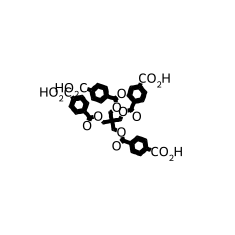 O=C(O)c1ccc(C(=O)OCC(COC(=O)c2ccc(C(=O)O)cc2)(COC(=O)c2ccc(C(=O)O)cc2)COC(=O)c2ccc(C(=O)O)cc2)cc1